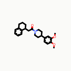 COc1ccc(C2CCN(C(=O)CC3CCCc4ccccc43)CC2)cc1OC